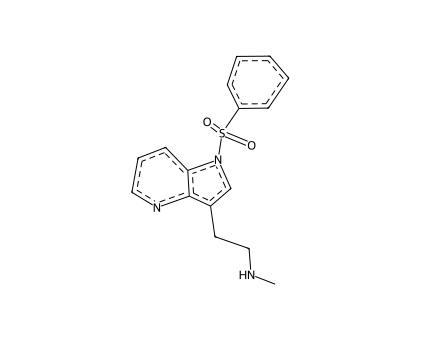 CNCCc1cn(S(=O)(=O)c2ccccc2)c2cccnc12